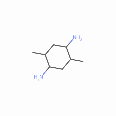 CC1CC(N)C(C)CC1N